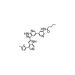 CCCCC(=O)Nc1cncc(-c2cnc3[nH]nc(-c4cc5c(-c6ccc(C)s6)cncc5[nH]4)c3c2)c1